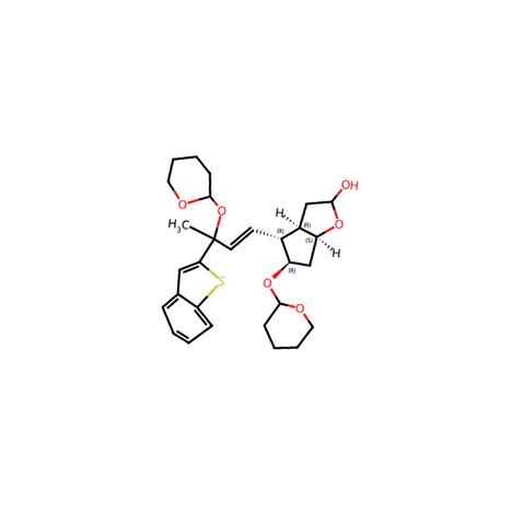 CC(C=C[C@@H]1[C@H]2CC(O)O[C@H]2C[C@H]1OC1CCCCO1)(OC1CCCCO1)c1cc2ccccc2s1